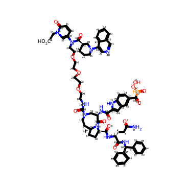 NC(=O)CC[C@@H](NC(=O)[C@H]1CC[C@H]2CCN(C(=O)NCCOCCOCCOCCN(C(=O)[C@@H]3CCCN(c4cncc5ccccc45)C3)c3ccc(=O)n(CC(=O)O)c3)C[C@@H](NC(=O)c3cc4cc(C(=O)[PH](=O)OO)ccc4[nH]3)C(=O)N21)C(=O)NC(c1ccccc1)c1ccccc1